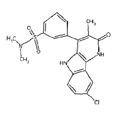 Cc1c(-c2cccc(S(=O)(=O)N(C)C)c2)c2[nH]c3ccc(Cl)cc3c2[nH]c1=O